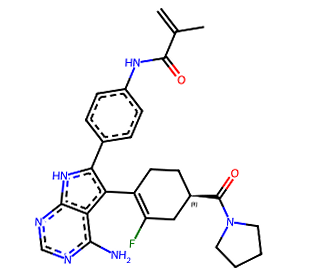 C=C(C)C(=O)Nc1ccc(-c2[nH]c3ncnc(N)c3c2C2=C(F)C[C@H](C(=O)N3CCCC3)CC2)cc1